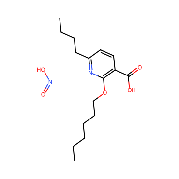 CCCCCCOc1nc(CCCC)ccc1C(=O)O.O=NO